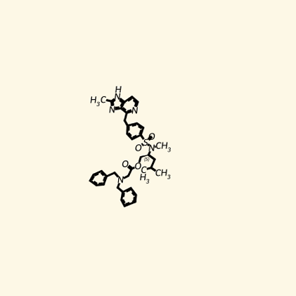 Cc1nc2c(Cc3ccc(S(=O)(=O)N(C)[C@H](COC(=O)CN(Cc4ccccc4)Cc4ccccc4)CC(C)C)cc3)nccc2[nH]1